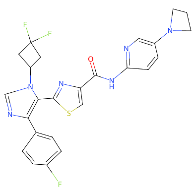 O=C(Nc1ccc(N2CCC2)cn1)c1csc(-c2c(-c3ccc(F)cc3)ncn2C2CC(F)(F)C2)n1